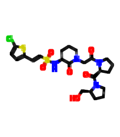 O=C1[C@@H](NS(=O)(=O)/C=C/c2ccc(Cl)s2)CCCN1CC(=O)N1CCC[C@H]1C(=O)N1CCC[C@H]1CO